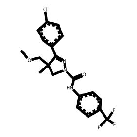 COCC1(C)CN(C(=O)Nc2ccc(C(F)(F)F)cc2)N=C1c1ccc(Cl)cc1